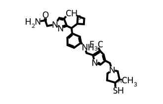 Cc1cn(CC(N)=O)nc1C(c1cccc(NCc2ncc(CN3CCC(S)[C@H](C)C3)cc2C(F)(F)F)c1)C1CCC1